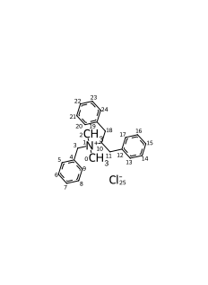 C[N+](C)(Cc1ccccc1)C(Cc1ccccc1)Cc1ccccc1.[Cl-]